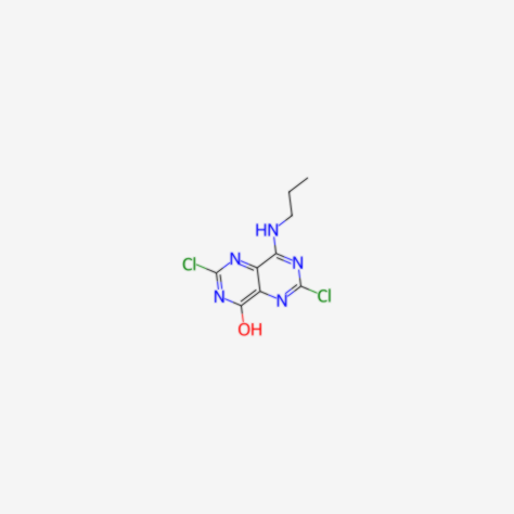 CCCNc1nc(Cl)nc2c(O)nc(Cl)nc12